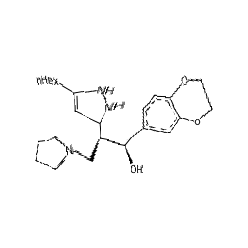 CCCCCCC1=CC([C@H](CN2CCCC2)[C@H](O)c2ccc3c(c2)OCCO3)NN1